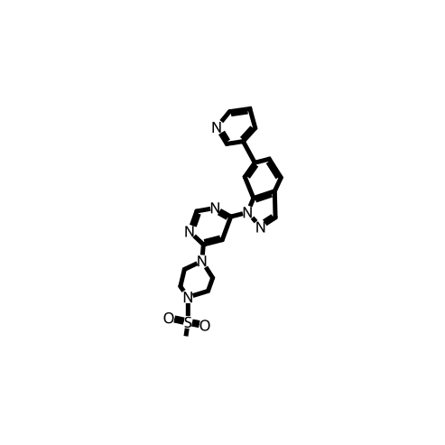 CS(=O)(=O)N1CCN(c2cc(-n3ncc4ccc(-c5cccnc5)cc43)ncn2)CC1